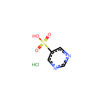 Cl.O=S(=O)(O)c1cncnc1